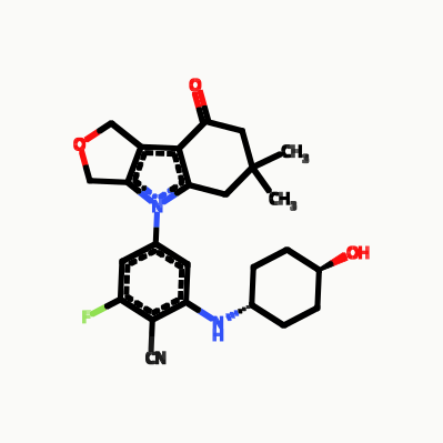 CC1(C)CC(=O)c2c3c(n(-c4cc(F)c(C#N)c(N[C@H]5CC[C@H](O)CC5)c4)c2C1)COC3